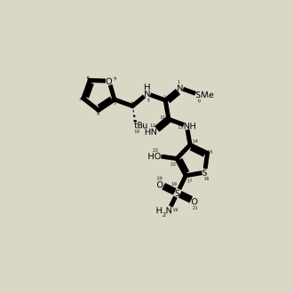 CS/N=C(/N[C@@H](c1ccco1)C(C)(C)C)C(=N)Nc1csc(S(N)(=O)=O)c1O